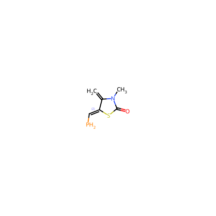 C=c1/c(=C/P)sc(=O)n1C